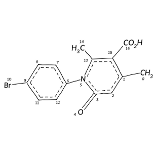 Cc1cc(=O)n(-c2ccc(Br)cc2)c(C)c1C(=O)O